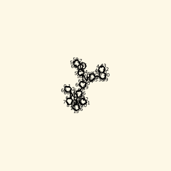 c1ccc(N2c3ccccc3[Si](c3ccccc3)(c3ccccc3)c3ccc(-c4ccc(N(c5ccc(-c6cccc7ccccc67)cc5)c5ccc6c(c5)oc5ccccc56)cc4)cc32)cc1